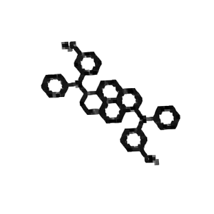 Cc1cccc(N(c2ccccc2)c2ccc3ccc4c5c(ccc2c35)=CCC4N(c2ccccc2)c2cccc(C)c2)c1